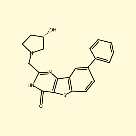 O=c1[nH]c(CN2CC[C@H](O)C2)nc2c1sc1ccc(-c3ccccc3)cc12